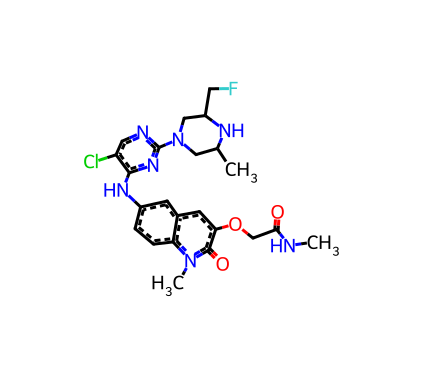 CNC(=O)COc1cc2cc(Nc3nc(N4CC(C)NC(CF)C4)ncc3Cl)ccc2n(C)c1=O